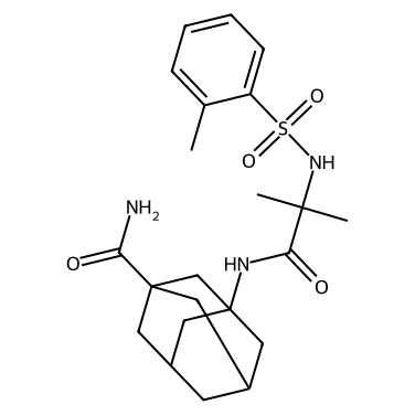 Cc1ccccc1S(=O)(=O)NC(C)(C)C(=O)NC12CC3CC(C1)CC(C(N)=O)(C3)C2